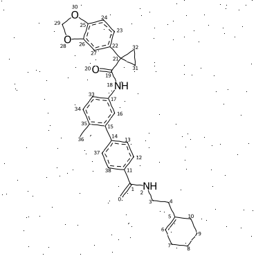 C=C(NCCC1=CCCCC1)c1ccc(-c2cc(NC(=O)C3(c4ccc5c(c4)OCO5)CC3)ccc2C)cc1